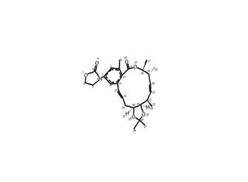 Cc1cc(N2CCOC2=O)cc2c1C(=O)O[C@@H](C)[C@H](C)/C=C\[C@@H](C)[C@H]1OC(C)(C)O[C@H]1C/C=C/2